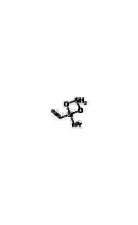 C=C[Si]1(CCC)O[SiH2]O1